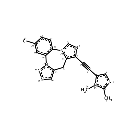 Cc1ncc(C#Cc2ncn3c2Cc2cnnn2-c2cc(Cl)ccc2-3)n1C